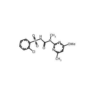 COc1cc(C)nc(N(C)C(=O)NS(=O)(=O)c2ccccc2Cl)n1